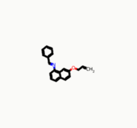 C=CCOc1ccc2cccc(N=Cc3ccccc3)c2c1